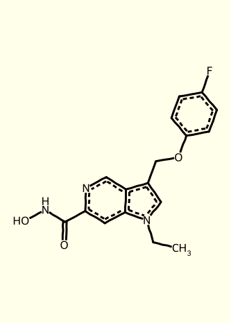 CCn1cc(COc2ccc(F)cc2)c2cnc(C(=O)NO)cc21